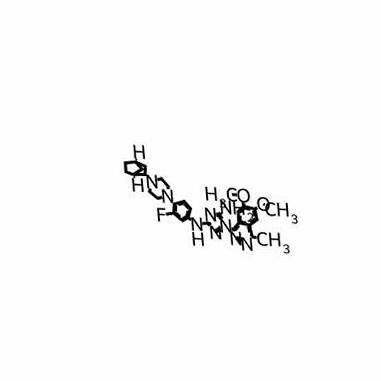 COc1cc2c(C)nnc(-n3nc(Nc4ccc(N5CCN([C@H]6C[C@@H]7CC[C@H]6C7)CC5)c(F)c4)nc3N)c2cc1OC